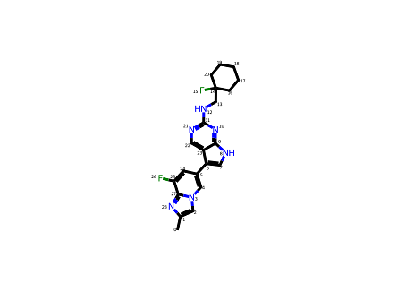 Cc1cn2cc(-c3c[nH]c4nc(NCC5(F)CCCCC5)ncc34)cc(F)c2n1